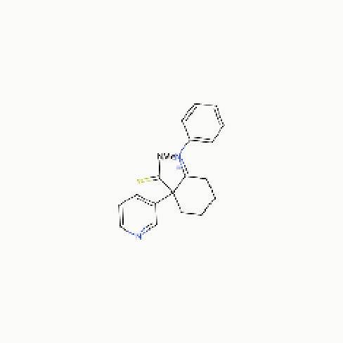 CNC(=S)C1(c2cccnc2)CCCC/C1=N\c1ccccc1